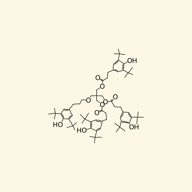 CC(C)(C)c1cc(CCCOCC(COC(=O)CCc2cc(C(C)(C)C)c(O)c(C(C)(C)C)c2)(COC(=O)CCc2cc(C(C)(C)C)c(O)c(C(C)(C)C)c2)COC(=O)CCc2cc(C(C)(C)C)c(O)c(C(C)(C)C)c2)cc(C(C)(C)C)c1O